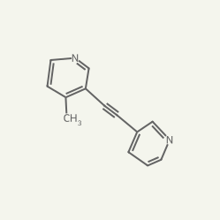 Cc1ccncc1C#Cc1cccnc1